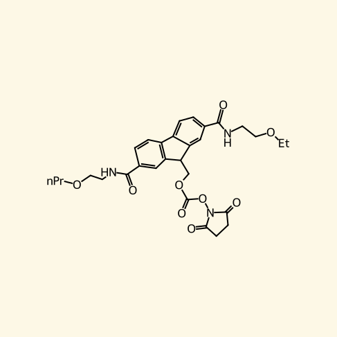 CCCOCCNC(=O)c1ccc2c(c1)C(COC(=O)ON1C(=O)CCC1=O)c1cc(C(=O)NCCOCC)ccc1-2